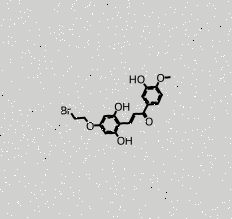 COc1ccc(C(=O)C=Cc2c(O)cc(OCCBr)cc2O)cc1O